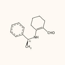 C[C@H](NC1=C(C=O)CCCC1)c1ccccc1